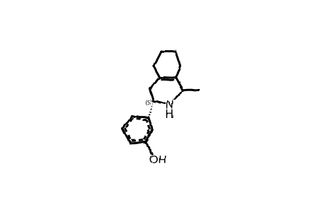 CC1N[C@H](c2cccc(O)c2)CC2=C1CCCC2